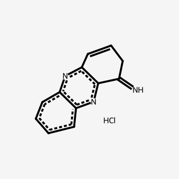 Cl.N=C1CC=Cc2nc3ccccc3nc21